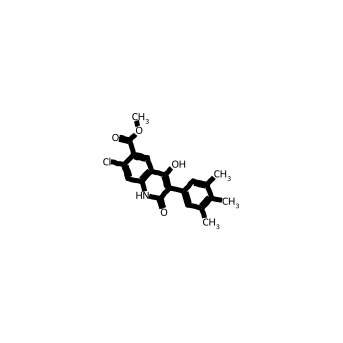 COC(=O)c1cc2c(O)c(-c3cc(C)c(C)c(C)c3)c(=O)[nH]c2cc1Cl